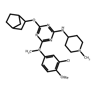 COc1ccc(N(C)c2nc(NC3CCN(C)CC3)nc(OC3CC4CCC3C4)n2)cc1Cl